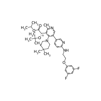 Cc1ncc(-c2ccc(NCCOc3cc(F)cc(F)c3)nc2)c(N2CCC(C)(C)CC2)c1[C@H](OC(C)(C)C)C(=O)OC(C)C